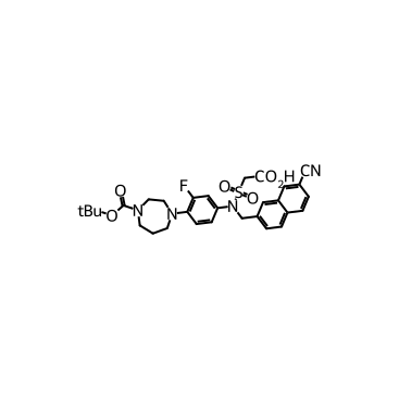 CC(C)(C)OC(=O)N1CCCN(c2ccc(N(Cc3ccc4ccc(C#N)cc4c3)S(=O)(=O)CC(=O)O)cc2F)CC1